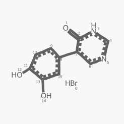 Br.O=c1[nH]cncc1-c1ccc(O)c(O)c1